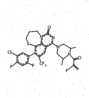 C=C(F)C(=O)N1C(C)CN(c2nc(=O)n3c4c(c(-c5cc(Cl)c(F)cc5F)c(C(F)(F)F)cc24)SCCC3)CC1C